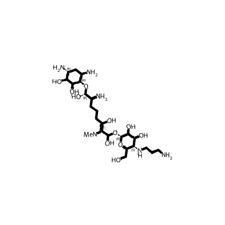 CN/C(=C(/O)CCCC(N)[C@H](O)O[C@@H]1C(N)C[C@@H](N)C(O)C1O)C(O)O[C@H]1OC(CO)[C@@H](NCCCN)C(O)C1O